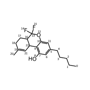 CCCCCc1cc(O)c2c(c1)OC(F)(F)C1CCC(C)=CC21